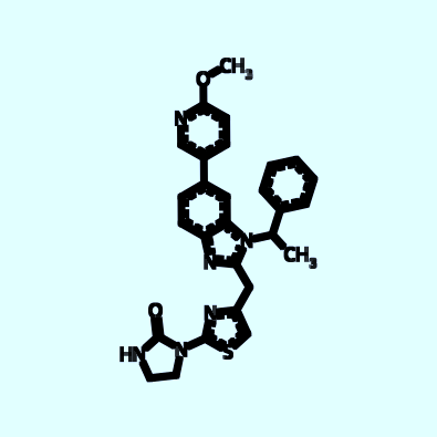 COc1ccc(-c2ccc3nc(Cc4csc(N5CCNC5=O)n4)n(C(C)c4ccccc4)c3c2)cn1